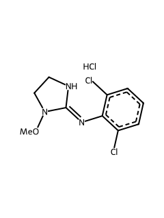 CON1CCN/C1=N\c1c(Cl)cccc1Cl.Cl